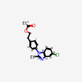 CCC(=O)OCCc1ccc(-n2c(CC)nc3cc(Cl)ccc32)cc1